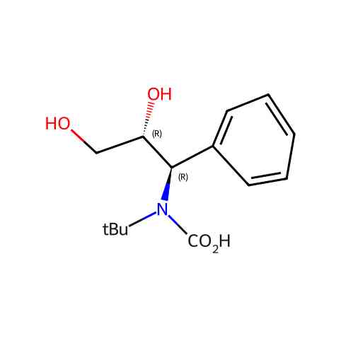 CC(C)(C)N(C(=O)O)[C@H](c1ccccc1)[C@@H](O)CO